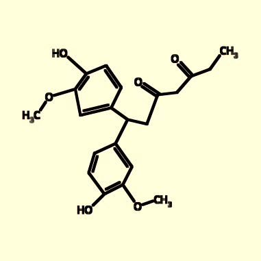 CCC(=O)CC(=O)CC(c1ccc(O)c(OC)c1)c1ccc(O)c(OC)c1